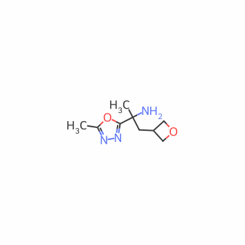 Cc1nnc(C(C)(N)CC2COC2)o1